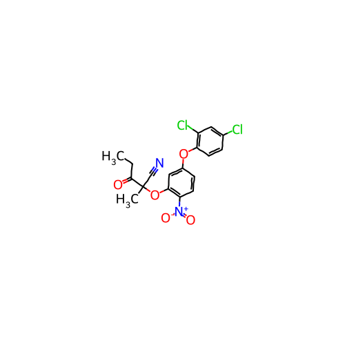 CCC(=O)C(C)(C#N)Oc1cc(Oc2ccc(Cl)cc2Cl)ccc1[N+](=O)[O-]